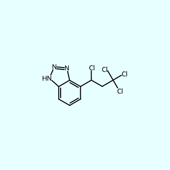 ClC(CC(Cl)(Cl)Cl)c1cccc2[nH]nnc12